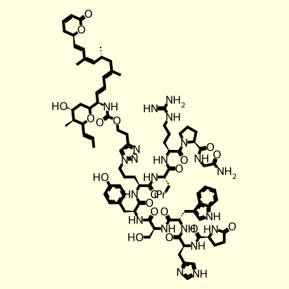 C/C=C/C1OC([C@@H](/C=C/C=C(\C)C[C@@H](C)/C=C(C)\C=C\[C@H]2CC=CC(=O)O2)NC(=O)OCCc2cn(CCC[C@H](NC(=O)[C@H](Cc3ccc(O)cc3)NC(=O)[C@H](CO)NC(=O)[C@H](Cc3c[nH]c4ccccc34)NC(=O)[C@H](Cc3c[nH]cn3)NC(=O)[C@@H]3CCC(=O)N3)C(=O)N[C@@H](CC(C)C)C(=O)N[C@@H](CCCNC(=N)N)C(=O)N3CCC[C@H]3C(=O)NCC(N)=O)nn2)C[C@@H](O)[C@@H]1C